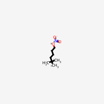 CC(C)(C)CCCCO[N+](=O)[O-]